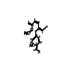 C=C(/C=C\C(=C/C)CC(/C=C\C(C#N)=C/C)=C/C)OC#N